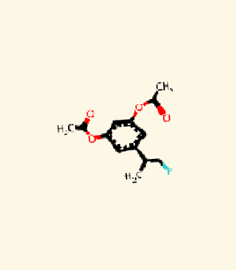 [CH2]C(CF)c1cc(OC(C)=O)cc(OC(C)=O)c1